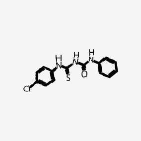 O=C(NC(=S)Nc1ccc(Cl)cc1)Nc1ccccc1